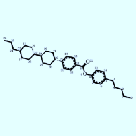 CCCCCc1ccc(OC(=O)c2ccc([C@H]3CC[C@H]([C@H]4CC[C@H](CCC)CC4)CC3)cc2)cc1